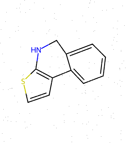 c1ccc2c(c1)CNc1sccc1-2